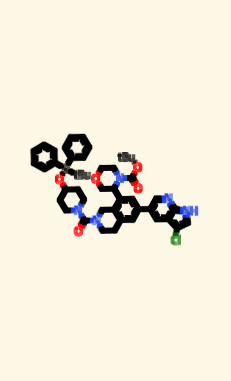 CC(C)(C)OC(=O)N1CCOCC1c1cc(-c2cnc3[nH]cc(Cl)c3c2)cc2c1CN(C(=O)N1CCC(O[Si](c3ccccc3)(c3ccccc3)C(C)(C)C)CC1)CC2